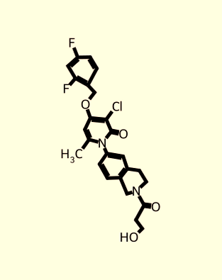 Cc1cc(OCc2ccc(F)cc2F)c(Cl)c(=O)n1-c1ccc2c(c1)CCN(C(=O)CCO)C2